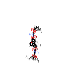 C=C(C)C(=O)OCCNC(=O)Oc1ccc(C(C)(c2ccccc2)c2ccc(OC(=O)NCCOC(=O)C(=C)C)cc2)cc1